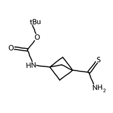 CC(C)(C)OC(=O)NC12CC(C(N)=S)(C1)C2